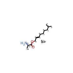 CC(C)CCCCC=CCOC(=O)C(C)N.[Na]